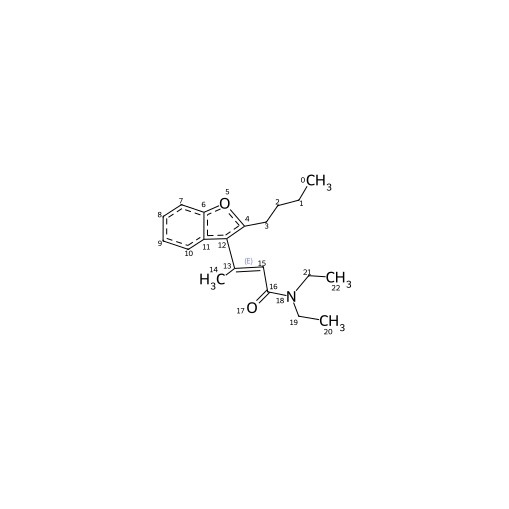 CCCCc1oc2ccccc2c1/C(C)=C/C(=O)N(CC)CC